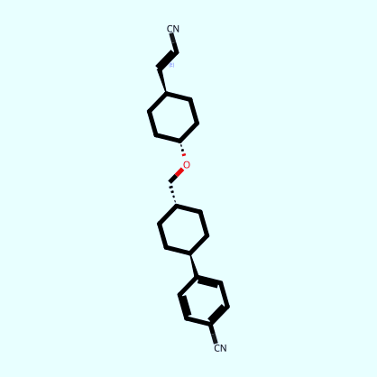 N#C/C=C/[C@H]1CC[C@H](OC[C@H]2CC[C@H](c3ccc(C#N)cc3)CC2)CC1